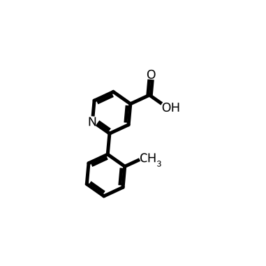 Cc1ccccc1-c1cc(C(=O)O)ccn1